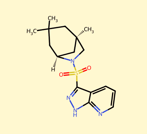 CC1(C)C[C@H]2C[C@](C)(CN2S(=O)(=O)c2n[nH]c3ncccc23)C1